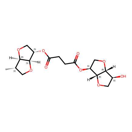 C[C@H]1CO[C@H]2[C@@H]1OC[C@@H]2OC(=O)CCC(=O)O[C@H]1CO[C@H]2[C@@H]1OC[C@@H]2O